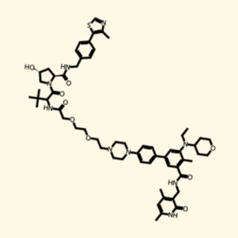 CCN(c1cc(-c2ccc(N3CCN(CCOCCOCC(=O)NC(C(=O)N4C[C@H](O)C[C@H]4C(=O)NCc4ccc(-c5scnc5C)cc4)C(C)(C)C)CC3)cc2)cc(C(=O)NCc2c(C)cc(C)[nH]c2=O)c1C)C1CCOCC1